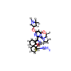 C[C@H](Oc1cc(O[C@H]2CN(C)C(C)(C)C2)nc(-c2noc3c2CCC[C@@]32CCCc3sc(N)c(C#N)c32)n1)[C@@H]1CCCN1C